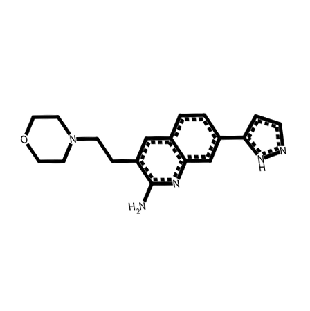 Nc1nc2cc(-c3ccn[nH]3)ccc2cc1CCN1CCOCC1